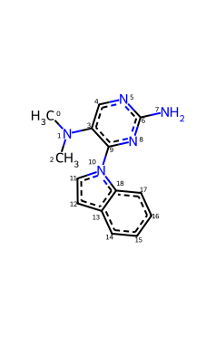 CN(C)c1cnc(N)nc1-n1ccc2ccccc21